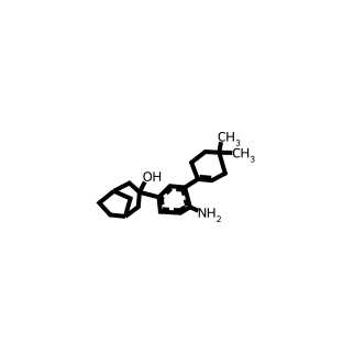 CC1(C)CC=C(c2cc(C3(O)CC4CCC(C4)C3)ccc2N)CC1